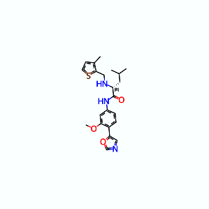 COc1cc(NC(=O)[C@@H](CC(C)C)NCc2sccc2C)ccc1-c1cnco1